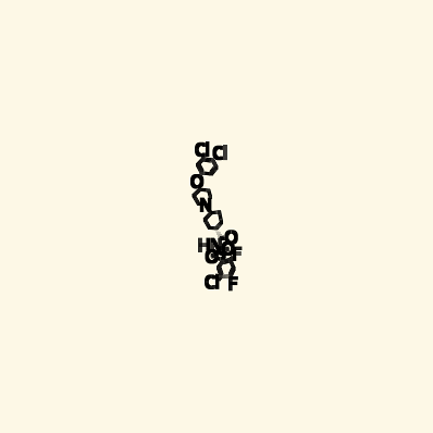 O=C(NS(=O)(=O)c1cc(Cl)c(F)cc1F)[C@H]1CC[C@H](N2CCC(Oc3ccc(Cl)c(Cl)c3)CC2)CC1